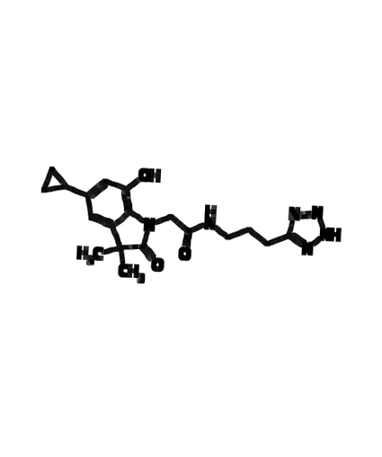 CC1(C)C(=O)N(CC(=O)NCCCc2nn[nH]n2)c2c(O)cc(C3CC3)cc21